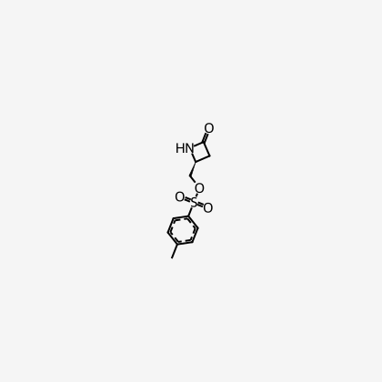 Cc1ccc(S(=O)(=O)OC[C@@H]2CC(=O)N2)cc1